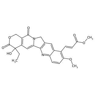 CCC1(O)C(=O)OCc2c1cc1n(c2=O)Cc2cc3c(C=CC(=O)OC)c(OC)ccc3nc2-1